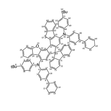 CC(C)(C)c1ccc(N(c2ccc(-c3ccccc3)cc2)c2cc3c(c4oc5ccccc5c24)-c2c(cc(N(c4ccc(C5=CCCC=C5)cc4)c4ccc(C(C)(C)C)cc4)c4c2sc2ccccc24)C32c3ccccc3-c3ccccc32)cc1